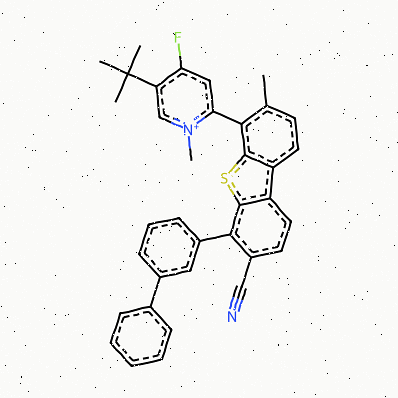 Cc1ccc2c(sc3c(-c4cccc(-c5ccccc5)c4)c(C#N)ccc32)c1-c1cc(F)c(C(C)(C)C)c[n+]1C